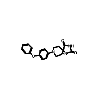 O=C1NC(=O)C2(CCN(c3ccc(Oc4ccccc4)cc3)CC2)N1